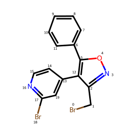 BrCc1noc(-c2ccccc2)c1-c1ccnc(Br)c1